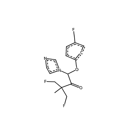 CC(CF)(CF)C(=O)C(Oc1ccc(F)cc1)n1ccnc1